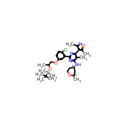 [CH2]C(COc1ccc(Cl)c(-c2nc(N[C@@H]3CCO[C@H](C)C3)c(C)c(-c3c(C)noc3C)n2)c1)O[Si](C)(C)C(C)(C)C